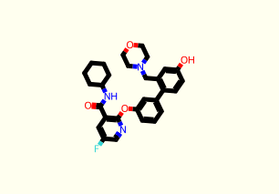 O=C(NC1CCCCC1)c1cc(F)cnc1Oc1cccc(-c2ccc(O)cc2CN2CCOCC2)c1